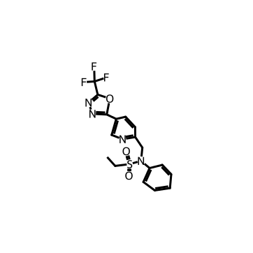 CCS(=O)(=O)N(Cc1ccc(-c2nnc(C(F)(F)F)o2)cn1)c1ccccc1